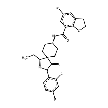 CCC1=NN(c2ccc(F)cc2Cl)C(=O)[C@]12CC[C@H](NC(=O)c1cc(Br)cc3c1OCC3)CC2